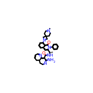 C[C@@H](NC(=O)C1=C2N=CC=CCC2CCN=C1N)c1cc2cccc(N3CC4(CCN(C)CC4)C3)c2c(=O)n1-c1ccccc1